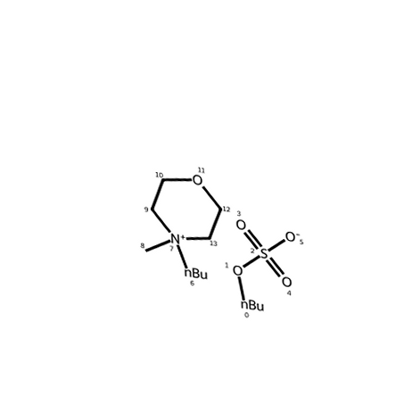 CCCCOS(=O)(=O)[O-].CCCC[N+]1(C)CCOCC1